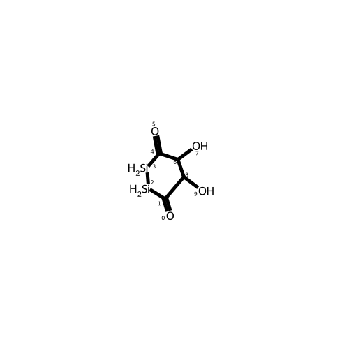 O=C1[SiH2][SiH2]C(=O)C(O)C1O